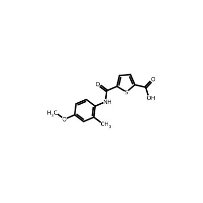 COc1ccc(NC(=O)c2ccc(C(=O)O)s2)c(C)c1